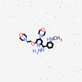 CNc1cccc(C(=NN)c2cc(N3CCOCC3)cc(OCCN3CCOCC3)n2)c1